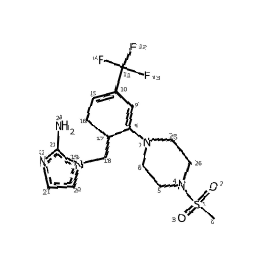 CS(=O)(=O)N1CCN(C2=CC(C(F)(F)F)=CCC2Cn2ccnc2N)CC1